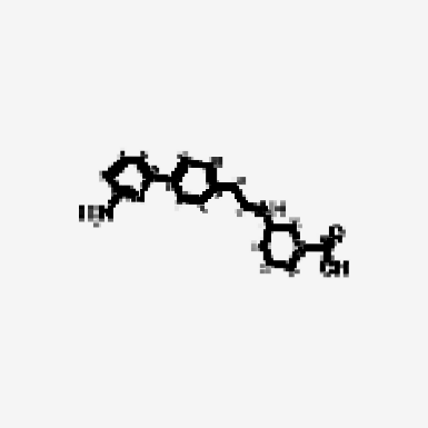 Nc1cccc(-c2ccc(CCNC3CCCN(C(=O)O)C3)cc2)n1